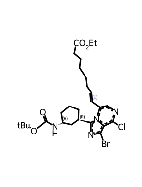 CCOC(=O)CCCCC/C=C/c1cnc(Cl)c2c(Br)nc([C@@H]3CCC[C@@H](NC(=O)OC(C)(C)C)C3)n12